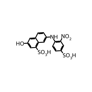 O=[N+]([O-])c1cc(S(=O)(=O)O)ccc1Nc1ccc2cc(O)cc(S(=O)(=O)O)c2c1